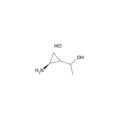 CC(O)C1C[C@@H]1N.Cl